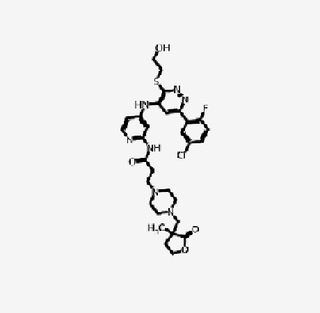 CC1(CN2CCN(CCC(=O)Nc3cc(Nc4cc(-c5cc(Cl)ccc5F)nnc4SCCO)ccn3)CC2)CCOC1=O